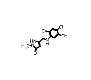 Cc1cc(NCc2cc(=O)n(C)[nH]2)c(Cl)cc1Cl